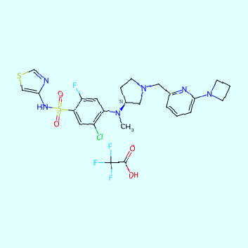 CN(c1cc(F)c(S(=O)(=O)Nc2cscn2)cc1Cl)[C@H]1CCN(Cc2cccc(N3CCC3)n2)C1.O=C(O)C(F)(F)F